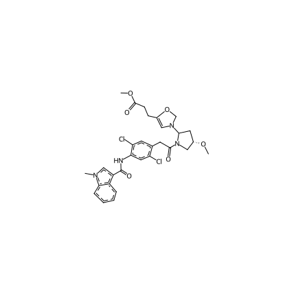 COC(=O)CCC1=CN(C2C[C@H](OC)CN2C(=O)Cc2cc(Cl)c(NC(=O)c3cn(C)c4ccccc34)cc2Cl)CO1